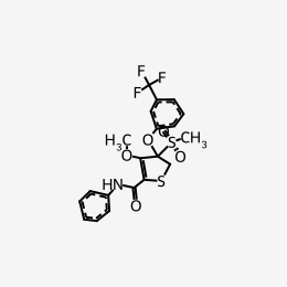 COC1=C(C(=O)Nc2ccccc2)SCC1(Oc1cccc(C(F)(F)F)c1)S(C)(=O)=O